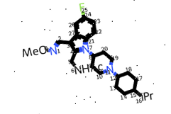 CON=Cc1c(CNC(C)=O)n(C2CCN(C3CCC(C(C)C)CC3)CC2)c2ccc(F)cc12